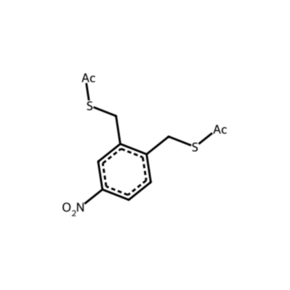 CC(=O)SCc1ccc([N+](=O)[O-])cc1CSC(C)=O